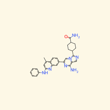 Cc1cc(Nc2ccccc2)nc2cc(-c3cn4c(C5CCC(C(N)=O)CC5)ncc4c(N)n3)ccc12